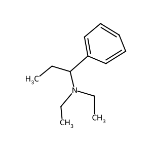 CCC(c1ccccc1)N(CC)CC